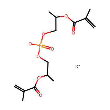 C=C(C)C(=O)OC(C)COP(=O)([O-])OCC(C)OC(=O)C(=C)C.[K+]